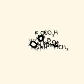 Cc1cc(NC(=O)Nc2cc(OC(=O)O)c(F)cc2N(CC(C)C)C2CCCCC2)on1